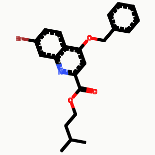 CC(C)CCOC(=O)c1cc(OCc2ccccc2)c2ccc(Br)cc2n1